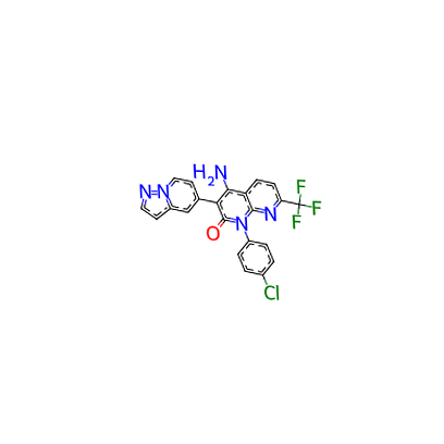 Nc1c(-c2ccn3nccc3c2)c(=O)n(-c2ccc(Cl)cc2)c2nc(C(F)(F)F)ccc12